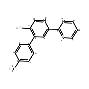 Cc1ccc(-c2cc(-c3ncccn3)ncc2F)cc1